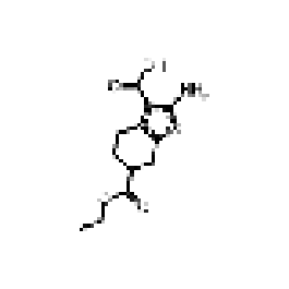 CCOC(=O)C1CCc2c(sc(N)c2C(=O)O)C1